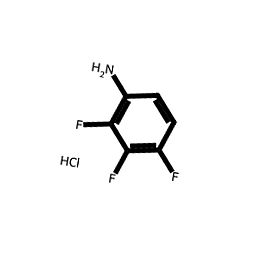 Cl.Nc1ccc(F)c(F)c1F